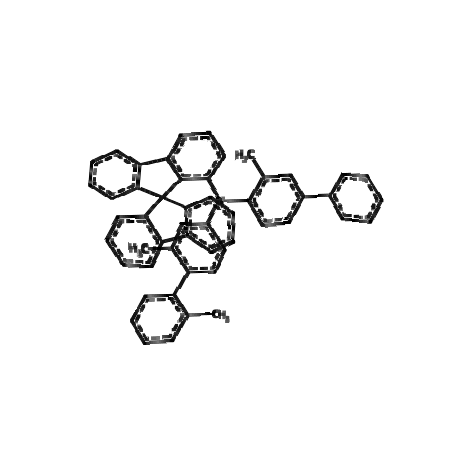 Cc1ccccc1-c1ccc(N(c2ccc(-c3ccccc3)cc2C)c2cccc3c2C2(c4ccccc4-c4ccccc42)c2ccccc2-3)cc1C